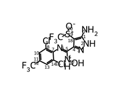 Nc1[nH]nc(C(=Nc2c(Cl)cc(C(F)(F)F)cc2Cl)NO)c1[S+]([O-])C(F)(F)F